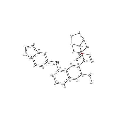 C=CC(=O)N1C2CCC1CC(Oc1cc3c(Nc4ccn5cccc5c4)ncnc3cc1OC)C2